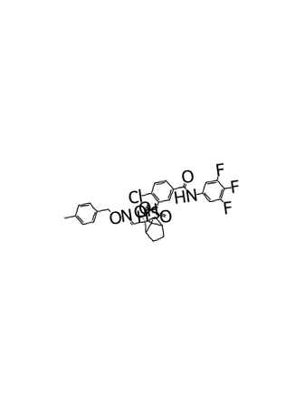 Cc1ccc(CO/N=C/[C@@]2(O)CC3CCC2[C@@H]3S(=O)(=O)c2cc(C(=O)Nc3cc(F)c(F)c(F)c3)ccc2Cl)cc1